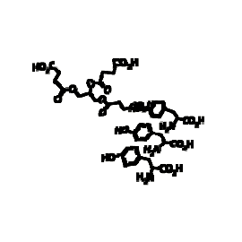 NC(Cc1ccc(O)cc1)C(=O)O.NC(Cc1ccc(O)cc1)C(=O)O.NC(Cc1ccc(O)cc1)C(=O)O.O=C(O)CCC(=O)OCC(COC(=O)CCC(=O)O)OC(=O)CCC(=O)O